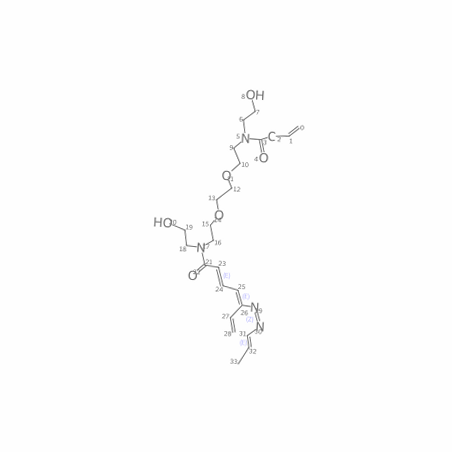 C=CCC(=O)N(CCO)CCOCCOCCN(CCO)C(=O)/C=C/C=C(C=C)/N=N\C=C\C